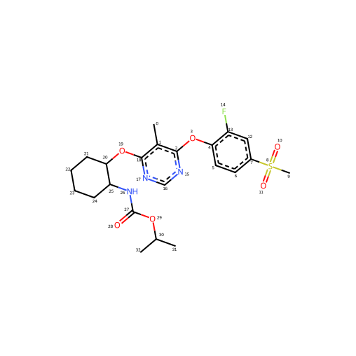 Cc1c(Oc2ccc(S(C)(=O)=O)cc2F)ncnc1OC1CCCCC1NC(=O)OC(C)C